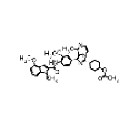 COc1cc(-c2nc([C@H]3CC[C@H](OC(C)=O)CC3)n3ccnc(C)c23)ccc1NC(=O)c1cc2c(OC)cccc2n1C